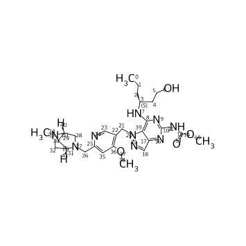 CCC[C@@H](CCO)Nc1nc(NC(=O)OC)nc2cnn(Cc3cnc(CN4C[C@@H]5C[C@H]4CN5C)cc3OC)c12